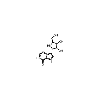 O=c1[nH]cnc2c([C@@H]3NC(CO)[C@@H](O)[C@H]3O)c[nH]c12